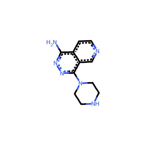 Nc1nnc(N2CCNCC2)c2cnccc12